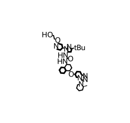 C[C@H]1CCCCN1c1nnc2ccc(O[C@@H]3CCC(NC(=O)Nc4cc(C(C)(C)C)nn4-c4ccnc(OCCO)c4)c4ccccc43)cn12